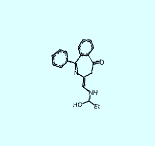 CCC(O)N/C=C1\CC(=O)c2ccccc2C(c2ccccc2)=N1